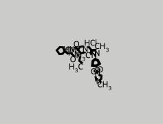 CCCCN1C(=O)[C@@H](CC2(O)CCCCC2)NC(=O)C12CCN(Cc1c(C)nn(-c3ccc(S(=O)(=O)N4CCN(C)CC4)cc3)c1C)CC2.Cl